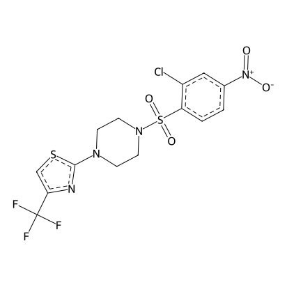 O=[N+]([O-])c1ccc(S(=O)(=O)N2CCN(c3nc(C(F)(F)F)cs3)CC2)c(Cl)c1